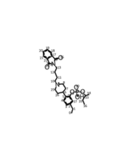 CCc1ccc(C2CCN(CCCCN3C(=O)c4ccccc4C3=O)CC2)c(OP(=O)(O)OC(C)CC)c1